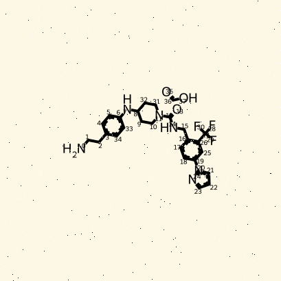 NCCc1ccc(NC2CCN(C(=O)NCc3ccc(-n4cccn4)cc3C(F)(F)F)CC2)cc1.O=CO